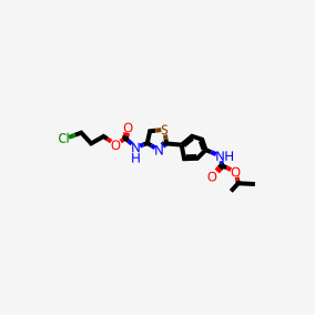 CC(C)OC(=O)Nc1ccc(C2=NC(NC(=O)OCCCCl)CS2)cc1